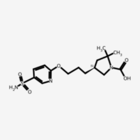 CC1(C)C[C@H](CCCOc2ccc(S(N)(=O)=O)cn2)CN1C(=O)O